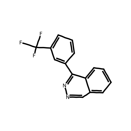 FC(F)(F)c1cccc(-c2nncc3ccccc23)c1